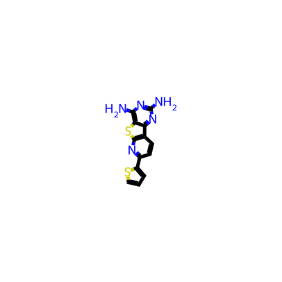 Nc1nc(N)c2sc3nc(-c4cccs4)ccc3c2n1